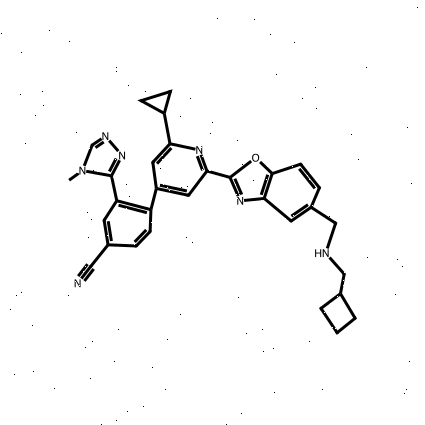 Cn1cnnc1-c1cc(C#N)ccc1-c1cc(-c2nc3cc(CNCC4CCC4)ccc3o2)nc(C2CC2)c1